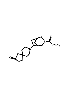 COC(=O)N1CC2CC(C1)C(N1CCC3(CC1)CNC(=O)C3)C2